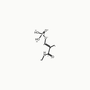 CNC(=O)C(C)=COP(=O)(O)O